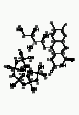 Cc1cc2nc3c(=O)[nH]c(=O)nc-3n(C[C@H](O)[C@H](O)[C@H](O)CO)c2cc1C.O=P(O)(O)OP(=O)(O)OP(=O)(O)OP(=O)(O)OP(=O)(O)O